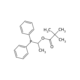 CC(OC(=O)C(C)(C)C)P(c1ccccc1)c1ccccc1